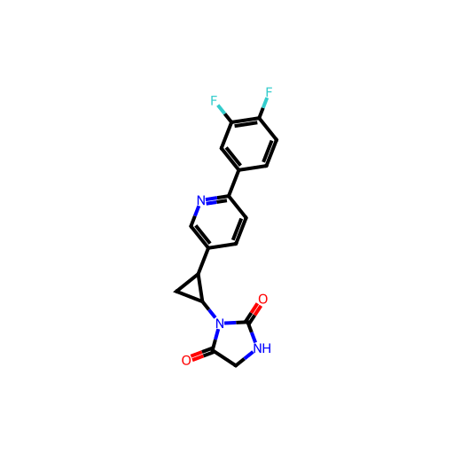 O=C1CNC(=O)N1C1CC1c1ccc(-c2ccc(F)c(F)c2)nc1